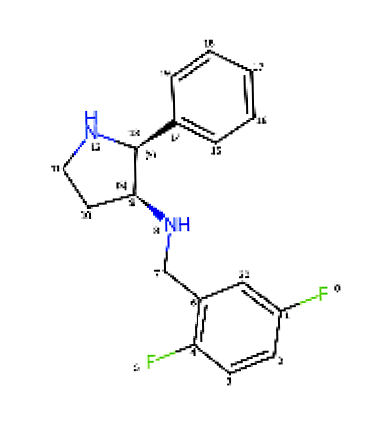 Fc1ccc(F)c(CN[C@H]2CCN[C@H]2c2ccccc2)c1